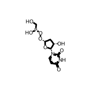 O=c1ccn([C@@H]2O[C@H](OOP(O)CO)C[C@@H]2O)c(=O)[nH]1